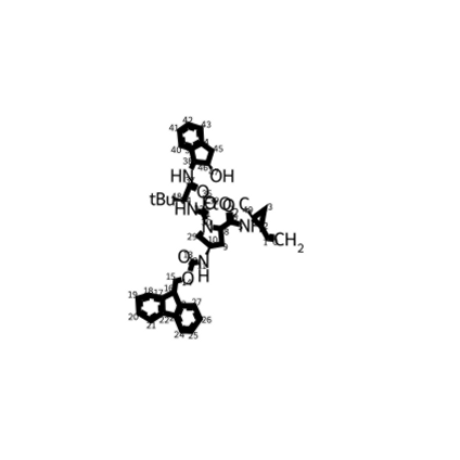 C=CC1C[C@]1(NC(=O)C1C[C@@H](NC(=O)OCC2c3ccccc3-c3ccccc32)CN1C(=O)N[C@H](C(=O)NC1c2ccccc2C[C@H]1O)C(C)(C)C)C(=O)OCC